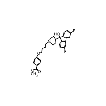 COC(=O)c1ccc(OCCCCN2CCC(C(O)(c3ccc(F)cc3)c3ccc(F)cc3)CC2)cc1